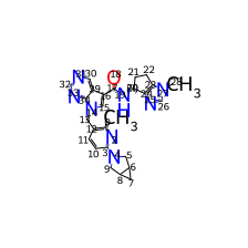 Cc1nc(N2CC3CC3C2)ccc1Cn1cc(C(=O)N[C@@H]2CCc3c2ncn3C)c2cncnc21